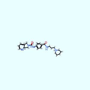 O=C(NCCCN1CCCCC1)c1ccc(NC(=O)N2Cc3cccnc3C2)cc1